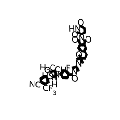 CC1(C)C(=O)[SH](c2ccc(C#N)c(C(F)(F)F)c2)NN1c1ccc(C(=O)N2CC(N3CC4(CCc5cc6c(cc5O4)C(=O)N(C4CCC(=O)NC4=O)C6=O)C3)C2)c(F)c1